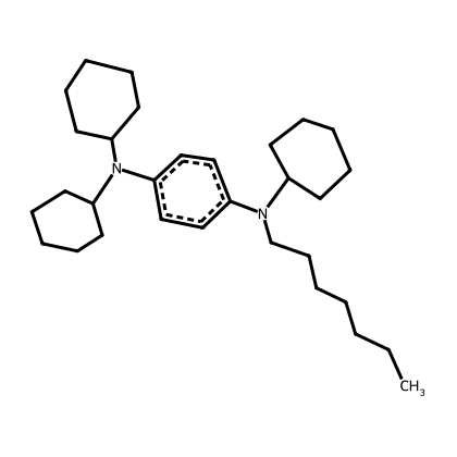 CCCCCCCN(c1ccc(N(C2CCCCC2)C2CCCCC2)cc1)C1CCCCC1